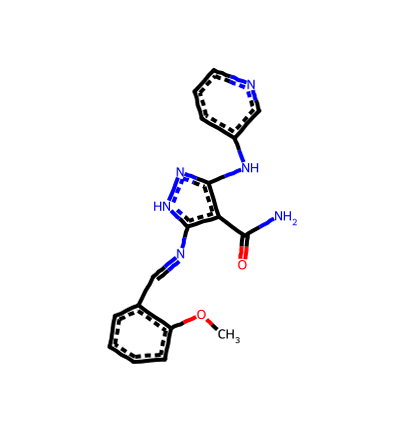 COc1ccccc1C=Nc1[nH]nc(Nc2cccnc2)c1C(N)=O